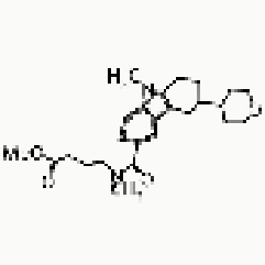 COC(=O)CCCN(C)C(=O)c1ccc2c(c1)c1c(n2C)CCC(C2CCOCC2)C1